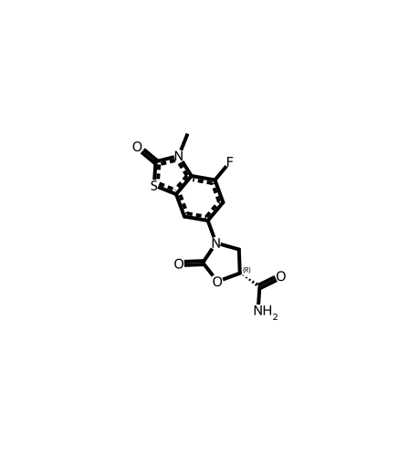 Cn1c(=O)sc2cc(N3C[C@H](C(N)=O)OC3=O)cc(F)c21